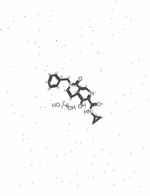 O=C(NC1CC1)c1ncc2c(=O)n(Cc3ccccc3)ccc2c1O.O=C(O)O